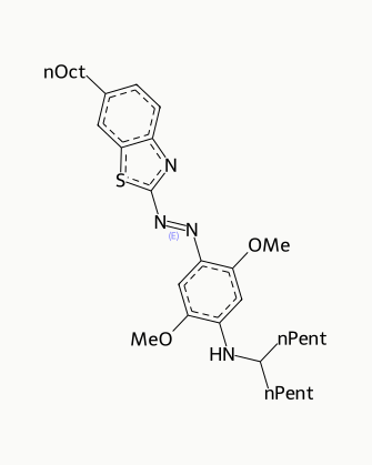 CCCCCCCCc1ccc2nc(/N=N/c3cc(OC)c(NC(CCCCC)CCCCC)cc3OC)sc2c1